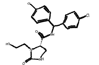 O=C(NC(c1ccc(Cl)cc1)c1ccc(Cl)cc1)[C@@H]1CNC(=O)N1CCO